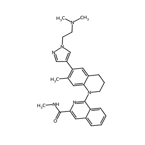 CNC(=O)c1cc2ccccc2c(N2CCCc3cc(-c4cnn(CCN(C)C)c4)c(C)cc32)n1